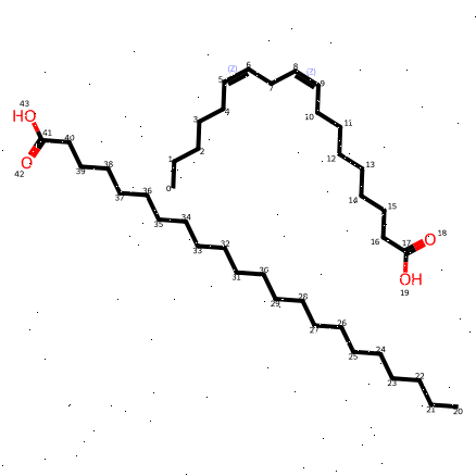 CCCCC/C=C\C/C=C\CCCCCCCC(=O)O.CCCCCCCCCCCCCCCCCCCCCC(=O)O